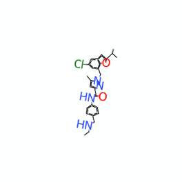 CCNCc1ccc(NC(=O)c2cc(C)n(Cc3cc(Cl)cc4cc(C(C)C)oc34)n2)cc1